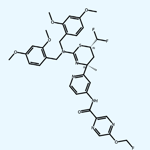 COc1ccc(CN(Cc2ccc(OC)cc2OC)C2=N[C@](C)(c3cc(NC(=O)c4cnc(OCF)cn4)ccn3)C[C@@H](C(F)F)S2)c(OC)c1